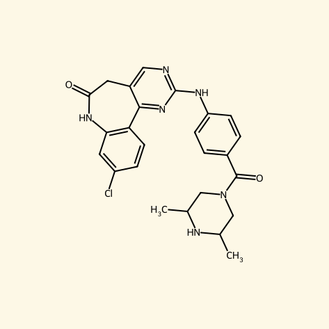 CC1CN(C(=O)c2ccc(Nc3ncc4c(n3)-c3ccc(Cl)cc3NC(=O)C4)cc2)CC(C)N1